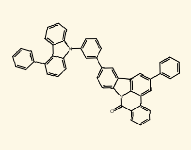 O=c1c2ccccc2c2cc(-c3ccccc3)cc3c4cc(-c5cccc(-n6c7ccccc7c7c(-c8ccccc8)cccc76)c5)ccc4n1c23